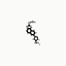 CCCCOc1nc2ccc3cc(C4CCC(N)C4)ccc3c2s1